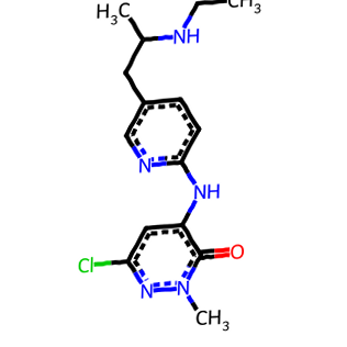 CCNC(C)Cc1ccc(Nc2cc(Cl)nn(C)c2=O)nc1